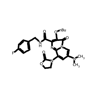 CCCCOc1c(C(=O)NCc2ccc(F)cc2)nc2c(N3CCOC3=O)cc(N(C)C)cn2c1=O